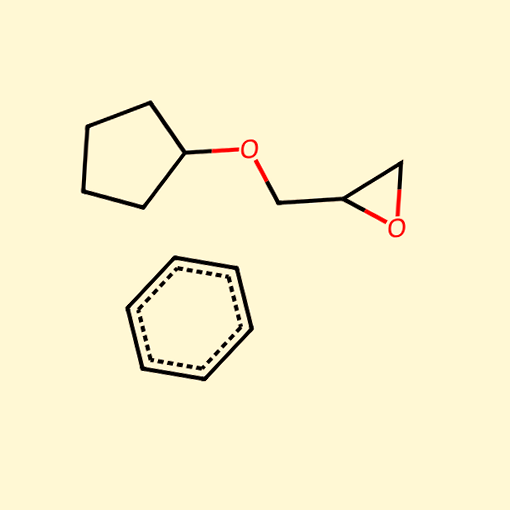 C1CCC(OCC2CO2)C1.c1ccccc1